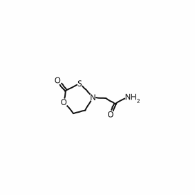 NC(=O)CN1CCOC(=O)S1